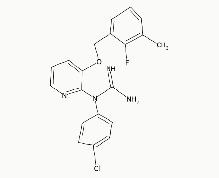 Cc1cccc(COc2cccnc2N(C(=N)N)c2ccc(Cl)cc2)c1F